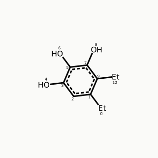 CCc1cc(O)c(O)c(O)c1CC